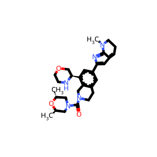 C[C@@H]1CN(C(=O)N2CCc3cc(C4=CC5=CCCN(C)C5=N4)cc([C@@H]4COCCN4)c3C2)C[C@@H](C)O1